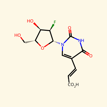 O=C(O)C=Cc1cn([C@@H]2O[C@H](CO)[C@@H](O)[C@H]2F)c(=O)[nH]c1=O